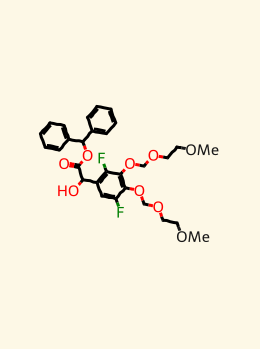 COCCOCOc1c(F)cc(C(O)C(=O)OC(c2ccccc2)c2ccccc2)c(F)c1OCOCCOC